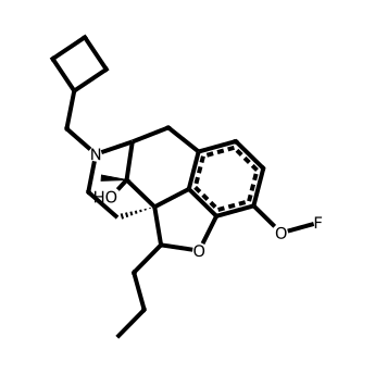 CCCC1Oc2c(OF)ccc3c2[C@@]12CCN(CC1CCC1)C(C3)[C@@]2(C)O